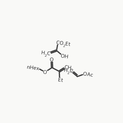 C=C(CC)C(=O)OCCCCCC.C=C(O)C(=O)OCC.C=COC(C)=O